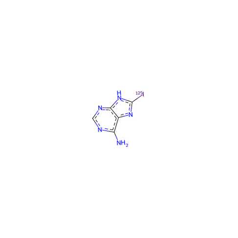 Nc1ncnc2[nH]c([125I])nc12